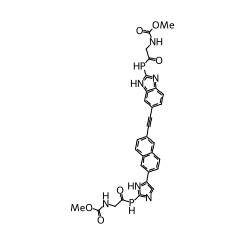 COC(=O)NCC(=O)Pc1ncc(-c2ccc3cc(C#Cc4ccc5nc(PC(=O)CNC(=O)OC)[nH]c5c4)ccc3c2)[nH]1